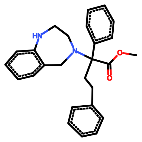 COC(=O)C(CCc1ccccc1)(c1ccccc1)N1CCNc2ccccc2C1